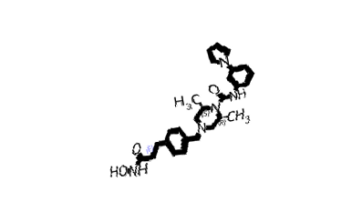 C[C@@H]1CN(Cc2ccc(/C=C/C(=O)NO)cc2)C[C@H](C)N1C(=O)Nc1cccc(-n2cccc2)c1